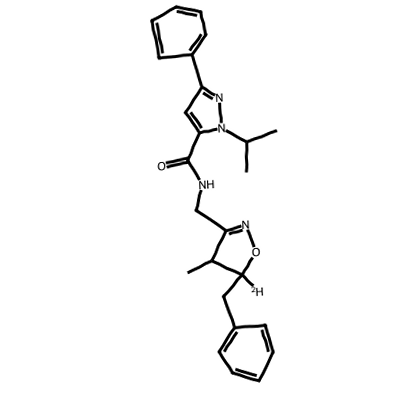 [2H]C1(Cc2ccccc2)ON=C(CNC(=O)c2cc(-c3ccccc3)nn2C(C)C)C1C